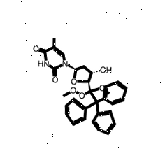 COOC(OC)([C@H]1O[C@@H](n2cc(C)c(=O)[nH]c2=O)C[C@@H]1O)C(c1ccccc1)(c1ccccc1)c1ccccc1